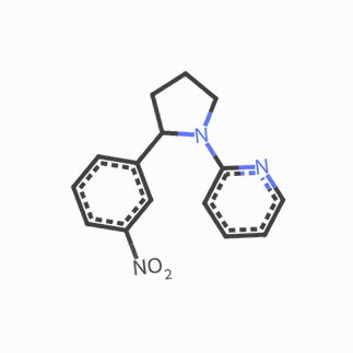 O=[N+]([O-])c1cccc(C2CCCN2c2ccccn2)c1